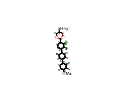 CCCCCCCC1COC(c2ccc(-c3ccc(-c4ccc(OC)c(F)c4F)cc3)c(F)c2F)OC1